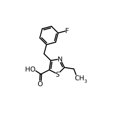 CCc1nc(Cc2cccc(F)c2)c(C(=O)O)s1